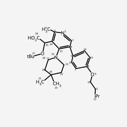 Cc1ncc(-c2ccc(OCCC(C)C)cc2)c(N2CCC(C)(C)CC2)c1C(OC(C)(C)C)C(=O)O